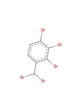 Br[C](Br)c1ccc(Br)c(Br)c1Br